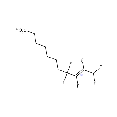 O=C(O)CCCCCCC(F)(F)/C(F)=C(\F)C(F)F